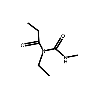 CCC(=O)N(CC)C(=O)NC